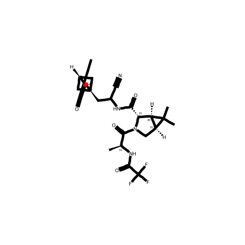 C[C@H](NC(=O)C(F)(F)F)C(=O)N1C[C@H]2[C@@H]([C@H]1C(=O)NC(C#N)C[C@]13C[C@H](C1)NC3=O)C2(C)C